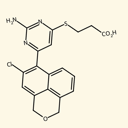 Nc1nc(SCCC(=O)O)cc(-c2c(Cl)cc3c4c(cccc24)COC3)n1